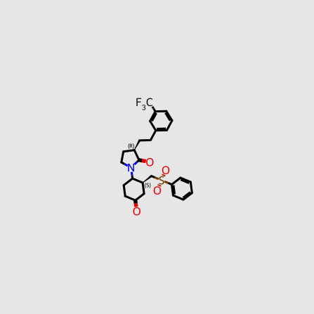 O=C1CCC(N2CC[C@@H](CCc3cccc(C(F)(F)F)c3)C2=O)[C@@H](CS(=O)(=O)c2ccccc2)C1